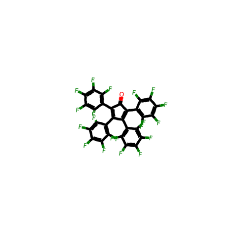 O=C1C(c2c(F)c(F)c(F)c(F)c2F)=C(c2c(F)c(F)c(F)c(F)c2F)C(c2c(F)c(F)c(F)c(F)c2F)=C1c1c(F)c(F)c(F)c(F)c1F